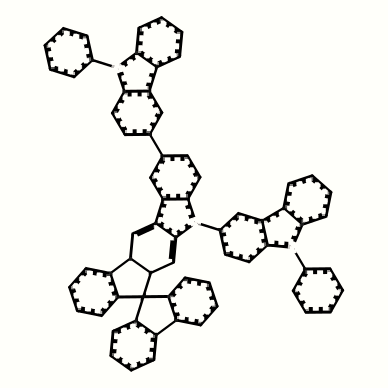 C1=c2c(n(-c3ccc4c(c3)c3ccccc3n4-c3ccccc3)c3ccc(-c4ccc5c(c4)c4ccccc4n5-c4ccccc4)cc23)=CC2C1c1ccccc1C21c2ccccc2-c2ccccc21